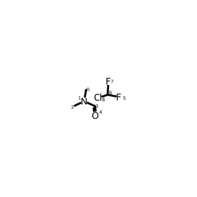 CN(C)C=O.FC(F)Cl